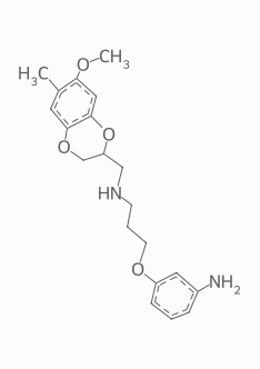 COc1cc2c(cc1C)OCC(CNCCCOc1cccc(N)c1)O2